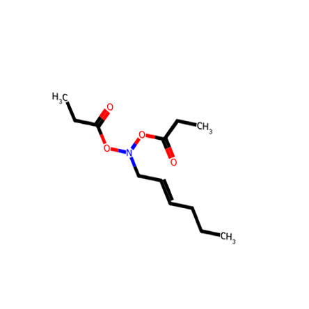 CCCC=CCN(OC(=O)CC)OC(=O)CC